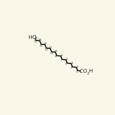 O=C(O)[CH]CCCCCCCCCCCCCCC[CH]O